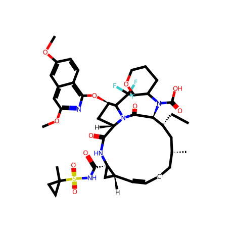 CC[C@@H]1C[C@H](C)CC/C=C\[C@@H]2C[C@@]2(C(=O)NS(=O)(=O)C2(C)CC2)NC(=O)[C@@H]2C[C@@H](Oc3nc(OC)cc4cc(OC)ccc34)C(C(F)(F)F)N2C(=O)[C@H]1N(C(=O)O)C1CCCOC1